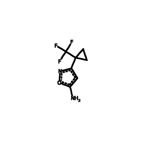 Nc1cc(C2(C(F)(F)F)CC2)no1